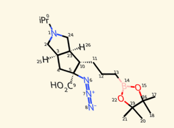 CC(C)N1C[C@@H]2C[C@@](N=[N+]=[N-])(C(=O)O)[C@@H](CCCB3OC(C)(C)C(C)(C)O3)[C@@H]2C1